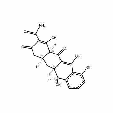 C[C@@]1(O)c2cccc(O)c2C(O)=C2C(=O)[C@@H]3C(O)=C(C(N)=O)C(=O)C[C@@H]3C[C@@H]21